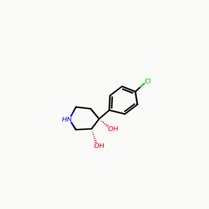 O[C@@H]1CNCC[C@@]1(O)c1ccc(Cl)cc1